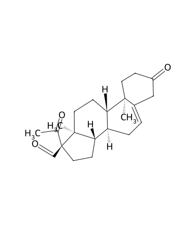 CC(=O)[C@@]1(C=O)CC[C@H]2[C@@H]3CC=C4CC(=O)CC[C@]4(C)[C@H]3CC[C@@]21C